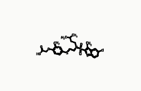 Cc1cc(SCCN(CCC(C)C)S(=O)(=O)c2sc3ccc(Cl)cc3c2C)ccc1OCC(=O)O